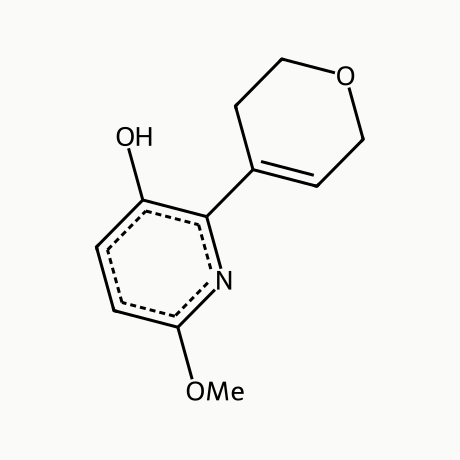 COc1ccc(O)c(C2=CCOCC2)n1